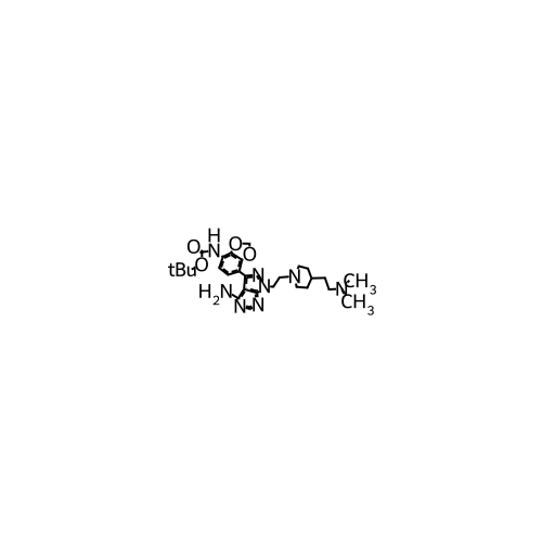 CN(C)CCC1CCN(CCn2nc(-c3ccc(NC(=O)OC(C)(C)C)c4c3OCO4)c3c(N)ncnc32)CC1